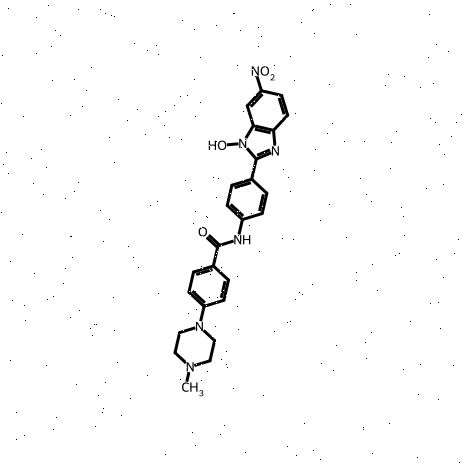 CN1CCN(c2ccc(C(=O)Nc3ccc(-c4nc5ccc([N+](=O)[O-])cc5n4O)cc3)cc2)CC1